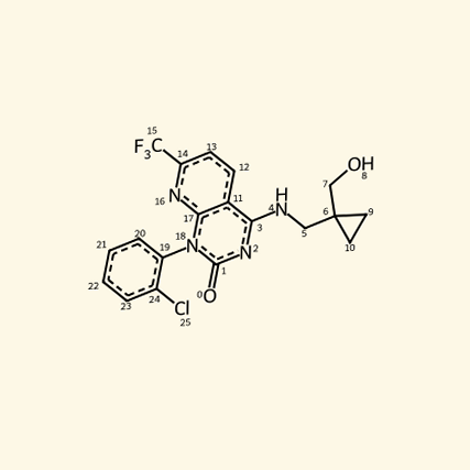 O=c1nc(NCC2(CO)CC2)c2ccc(C(F)(F)F)nc2n1-c1ccccc1Cl